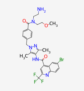 COCCN(CCN)C(=O)c1ccc(Cn2nc(C)c(NC(=O)c3cc(C(F)(F)F)nc4ccc(Br)cc34)c2C)cc1